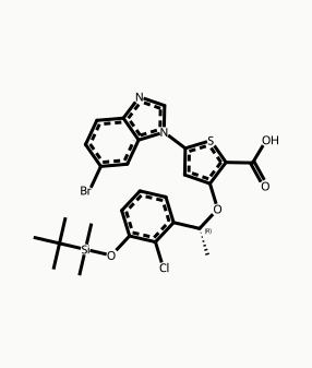 C[C@@H](Oc1cc(-n2cnc3ccc(Br)cc32)sc1C(=O)O)c1cccc(O[Si](C)(C)C(C)(C)C)c1Cl